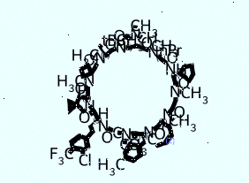 CCC[C@H]1C(=O)N[C@@H](C2CCCC2)C(=O)N(C)CC(=O)N(C)[C@H]2C/C=C\CCN(C2=O)[C@@H](Cc2ccc(C)cc2)C(=O)N(C)CC(=O)N[C@@H](CCc2ccc(C(F)(F)F)c(Cl)c2)C(=O)N2CC3(CC3)C[C@H]2C(=O)N(C)C2(CCC2)C(=O)N(C)[C@@H](CC(C)(C)C)C(=O)N(C)[C@H](C(=O)N(C)C)CC(=O)N1C